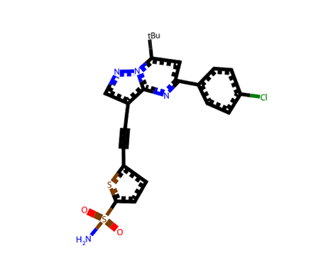 CC(C)(C)c1cc(-c2ccc(Cl)cc2)nc2c(C#Cc3ccc(S(N)(=O)=O)s3)cnn12